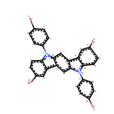 Brc1ccc(-n2c3ccc(Br)cc3c3cc4c(cc32)c2cc(Br)ccc2n4-c2ccc(Br)cc2)cc1